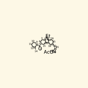 CCn1c2ccc(C(=O)c3ccccc3C)cc2c2cc(C3CC3=NOC(C)=O)ccc21